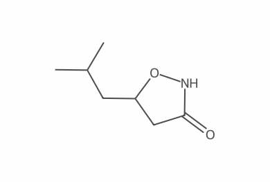 CC(C)CC1CC(=O)NO1